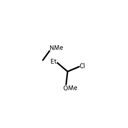 CCC(Cl)OC.CNC